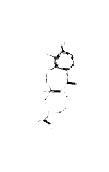 Cc1c(Br)ccc2c1OC[C@H]1CN(C(=O)O)CCN1C2=O